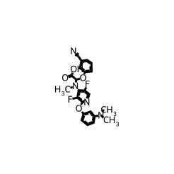 CN(C)c1cccc(Oc2ncc(F)c(N(C)C(Oc3cccc(C#N)c3)C(=O)O)c2F)c1